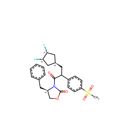 CS(=O)(=O)c1ccc(C(C[C@H]2C[C@@H](F)[C@@H](F)C2)C(=O)N2C(=O)OC[C@H]2Cc2ccccc2)cc1